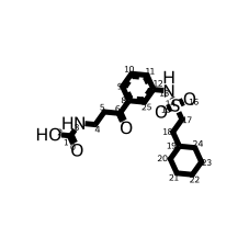 O=C(O)NCCC(=O)c1cccc(NS(=O)(=O)CCC2CCCCC2)c1